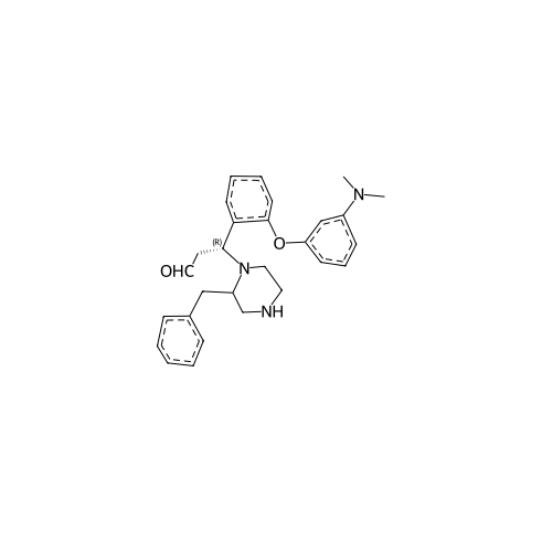 CN(C)c1cccc(Oc2ccccc2[C@@H](CC=O)N2CCNCC2Cc2ccccc2)c1